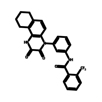 O=C(Nc1cccc(-n2c(=O)c(=O)[nH]c3c4c(ccc32)CCCC4)c1)c1ccccc1C(F)(F)F